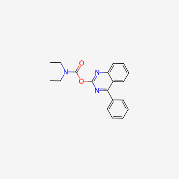 CCN(CC)C(=O)Oc1nc(-c2ccccc2)c2ccccc2n1